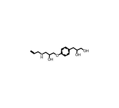 C=CCNCC(O)COc1ccc(CC(O)CO)cc1